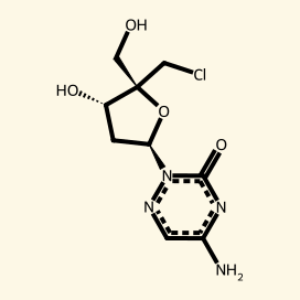 Nc1cnn([C@H]2C[C@H](O)[C@](CO)(CCl)O2)c(=O)n1